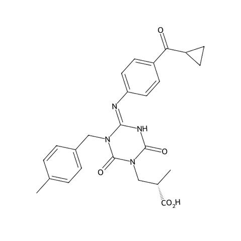 Cc1ccc(Cn2c(=O)n(C[C@H](C)C(=O)O)c(=O)[nH]/c2=N\c2ccc(C(=O)C3CC3)cc2)cc1